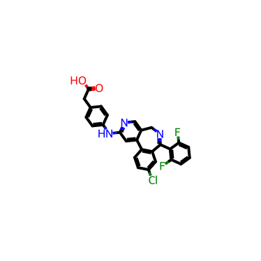 O=C(O)Cc1ccc(Nc2cc3c(cn2)CN=C(c2c(F)cccc2F)c2cc(Cl)ccc2-3)cc1